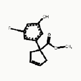 COC(=O)C1(c2cc(O)cc(F)c2)CC=CC1